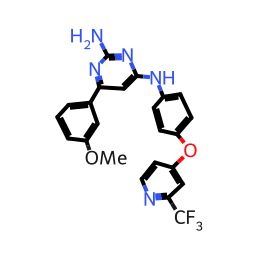 COc1cccc(-c2cc(Nc3ccc(Oc4ccnc(C(F)(F)F)c4)cc3)nc(N)n2)c1